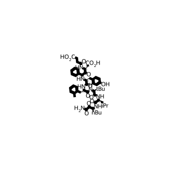 CCCC[C@H](NC(=O)[C@H](CC(C)C)NC(=O)[C@@H](NC(=O)[C@H](Cc1ccccc1C)NC(=O)[C@@H](Cc1ccc(O)cc1)NC(C(=O)[C@@H](CC(=O)O)NC(=O)CCC(=O)O)c1ccccc1)C(C)(C)C)C(=O)C(N)=O